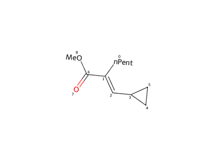 CCCCC/C(=C\C1CC1)C(=O)OC